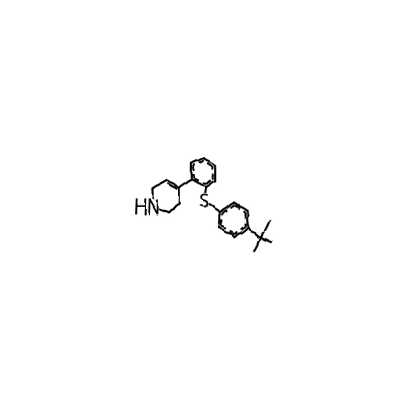 CC(C)(C)c1ccc(Sc2ccccc2C2=CCNCC2)cc1